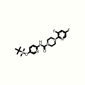 CC(C)(C)[Si](C)(C)Oc1ccc(NC(=O)N2CCN(c3ncc(F)cc3F)CC2)nc1